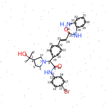 CC(C)(O)C1CCN(C(C(=O)Nc2ccc(Br)cc2)c2ccc(C=CC(=O)Nc3ccccc3N)cc2)C1